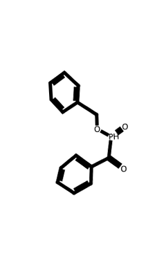 O=C(c1ccccc1)[PH](=O)OCc1ccccc1